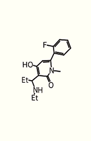 CCNC(CC)c1c(O)cc(-c2ccccc2F)n(C)c1=O